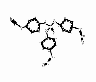 N#COc1ccc(OP(=S)(Oc2ccc(N=C=O)cc2)Oc2ccc(N=C=O)cc2)cc1